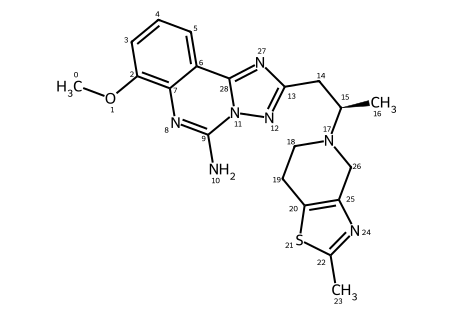 COc1cccc2c1nc(N)n1nc(C[C@@H](C)N3CCc4sc(C)nc4C3)nc21